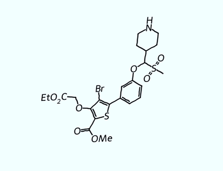 CCOC(=O)COc1c(C(=O)OC)sc(-c2cccc(OC(C3CCNCC3)S(C)(=O)=O)c2)c1Br